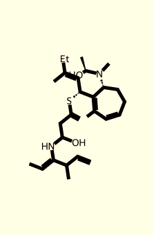 C=CC(C)/C(=C/C)NC(O)CC(=C)S[C@H](/C=C(\C)CC)C1=C(C)C=CCC[C@H]1N(C)[C@H](C)O